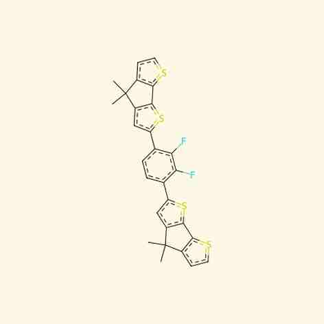 CC1(C)c2ccsc2-c2sc(-c3ccc(-c4cc5c(s4)-c4sccc4C5(C)C)c(F)c3F)cc21